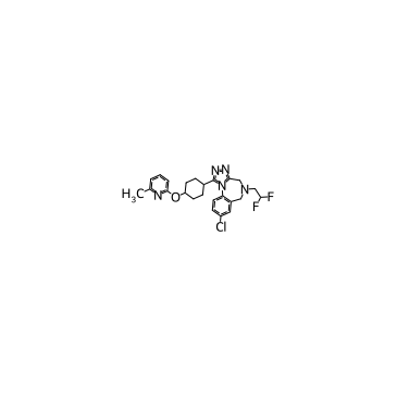 Cc1cccc(OC2CCC(c3nnc4n3-c3ccc(Cl)cc3CN(CC(F)F)C4)CC2)n1